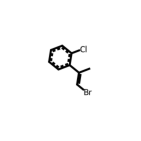 C/C(=C\Br)c1ccccc1Cl